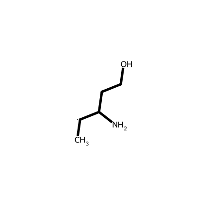 C[CH]C(N)CCO